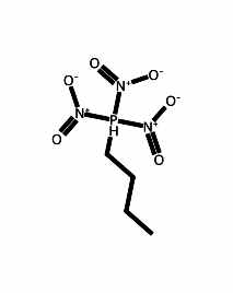 CCCC[PH]([N+](=O)[O-])([N+](=O)[O-])[N+](=O)[O-]